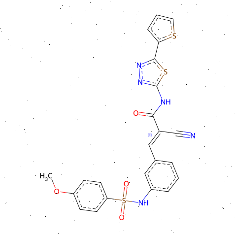 COc1ccc(S(=O)(=O)Nc2cccc(/C=C(\C#N)C(=O)Nc3nnc(-c4cccs4)s3)c2)cc1